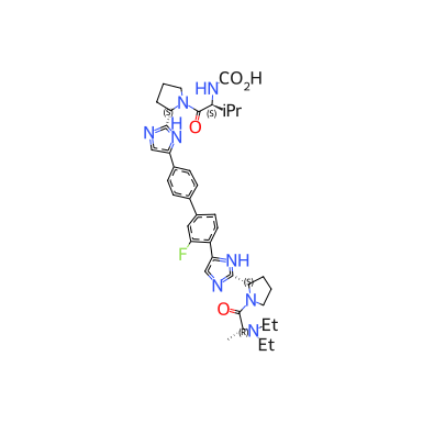 CCN(CC)[C@H](C)C(=O)N1CCC[C@H]1c1ncc(-c2ccc(-c3ccc(-c4cnc([C@@H]5CCCN5C(=O)[C@@H](NC(=O)O)C(C)C)[nH]4)cc3)cc2F)[nH]1